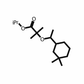 CC(C)OC(=O)C(C)(C)OC(C)C1CCCC(C)(C)C1